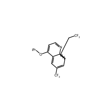 CC(C)OC1=CC=NC23OC(CC(F)(F)F)CN=C2C=C(C(F)(F)F)C=C13